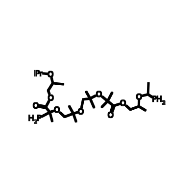 CC(C)OC(C)COC(=O)C(C)(P)OCC(C)(C)OCC(C)(C)OC(C)(C)C(=O)OCC(C)OC(C)P